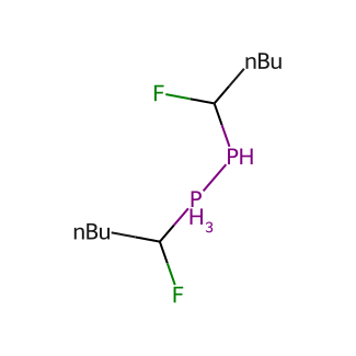 CCCCC(F)P[PH3]C(F)CCCC